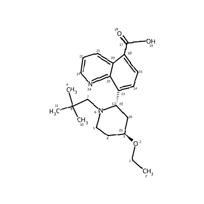 CCO[C@H]1CCN(CC(C)(C)C)[C@H](c2ccc(C(=O)O)c3cccnc23)C1